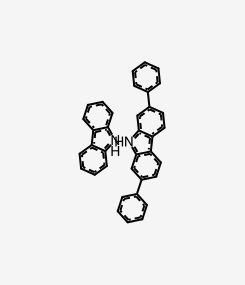 c1ccc(-c2ccc3c(c2)[nH]c2cc(-c4ccccc4)ccc23)cc1.c1ccc2c(c1)[nH]c1ccccc12